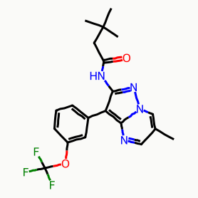 Cc1cnc2c(-c3cccc(OC(F)(F)F)c3)c(NC(=O)CC(C)(C)C)nn2c1